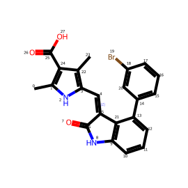 Cc1[nH]c(/C=C2\C(=O)Nc3cccc(-c4cccc(Br)c4)c32)c(C)c1C(=O)O